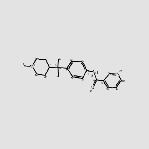 CN1CCC(C(C)(C)c2ccc(NC(=O)c3cccnc3)cc2)CC1